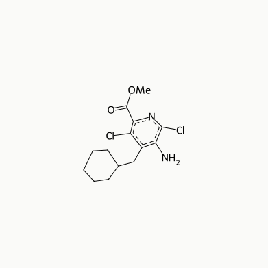 COC(=O)c1nc(Cl)c(N)c(CC2CCCCC2)c1Cl